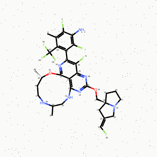 Cc1c(F)c(N)c(F)c(-c2nc3c4c(nc(OC[C@@]56CCCN5C/C(=C\F)C6)nc4c2F)NCC(C)NCC[C@H](C)O3)c1C(F)(F)F